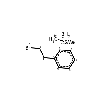 B.BrCCc1ccccc1.CSC